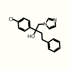 OC(CCc1ccccc1)(Cn1ccnc1)c1ccc(Cl)cc1